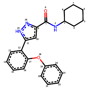 O=C(NC1CCCCC1)c1cc(-c2ccccc2Oc2ccccc2)[nH]n1